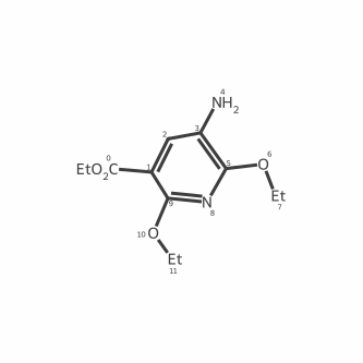 CCOC(=O)c1cc(N)c(OCC)nc1OCC